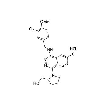 COc1ccc(CNc2nnc(N3CCCC3CO)c3ccc(Cl)cc23)cc1Cl.Cl